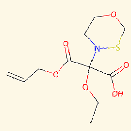 C=CCOC(=O)C(OCC)(C(=O)O)N1CCOCS1